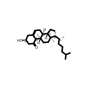 CC(C)CCC[C@@H](C)[C@H]1CC[C@H]2[C@@H]3CC=C4C[C@H](O)CC(=O)[C@]4(C)[C@H]3CC[C@]12C